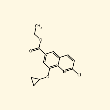 CCOC(=O)c1cc(OC2CC2)c2nc(Cl)ccc2c1